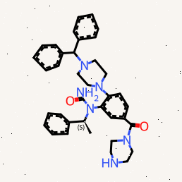 C[C@@H](c1ccccc1)N(C(N)=O)c1cc(C(=O)N2CCNCC2)ccc1N1CCN(C(c2ccccc2)c2ccccc2)CC1